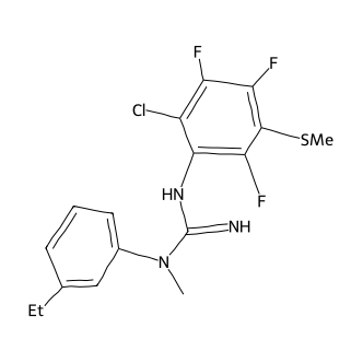 CCc1cccc(N(C)C(=N)Nc2c(F)c(SC)c(F)c(F)c2Cl)c1